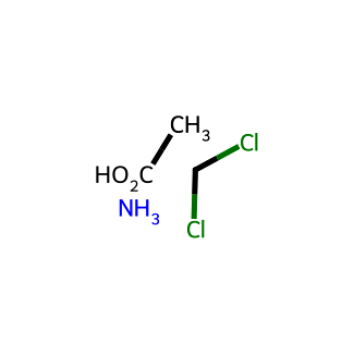 CC(=O)O.ClCCl.N